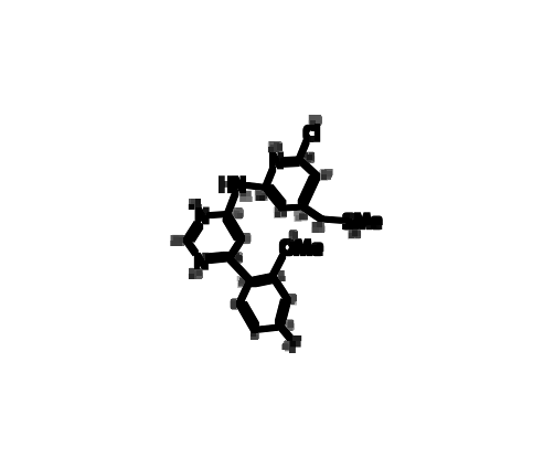 COc1cc(F)ccc1-c1cc(Nc2cc(CSC)cc(Cl)n2)ncn1